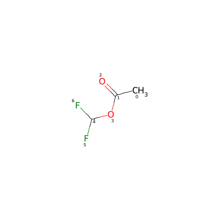 CC(=O)O[C](F)F